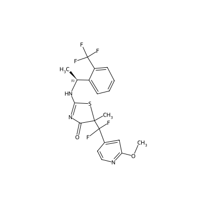 COc1cc(C(F)(F)C2(C)SC(N[C@@H](C)c3ccccc3C(F)(F)F)=NC2=O)ccn1